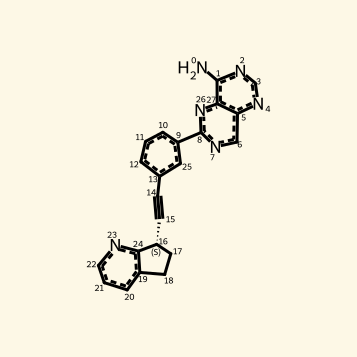 Nc1ncnc2cnc(-c3cccc(C#C[C@@H]4CCc5cccnc54)c3)nc12